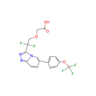 O=C(O)COCC(F)(F)c1nnc2ccc(-c3ccc(OC(F)(F)F)cc3)cn12